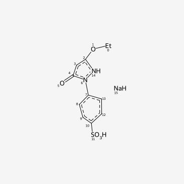 CCOc1cc(=O)n(-c2ccc(S(=O)(=O)O)cc2)[nH]1.[NaH]